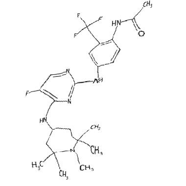 CC(=O)Nc1ccc(Nc2ncc(F)c(NC3CC(C)(C)N(C)C(C)(C)C3)n2)cc1C(F)(F)F